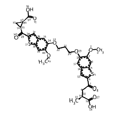 COc1cc2sc(C(=O)C[C@H](C)C(=O)O)cc2cc1OCCCOc1cc2cc(C(=O)[C@H]3C[C@H]3C(=O)O)sc2cc1OC